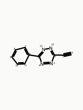 C#Cc1nnc(-c2ccccc2)nn1